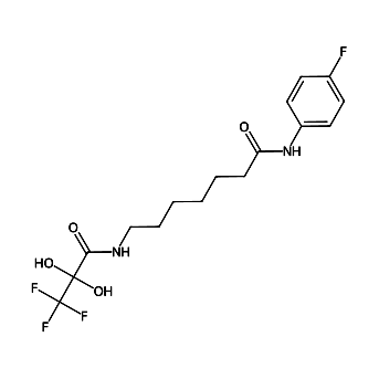 O=C(CCCCCCNC(=O)C(O)(O)C(F)(F)F)Nc1ccc(F)cc1